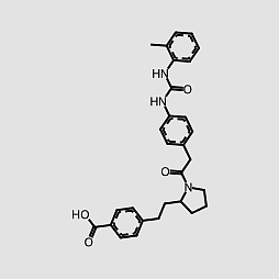 Cc1ccccc1NC(=O)Nc1ccc(CC(=O)N2CCCC2CCc2ccc(C(=O)O)cc2)cc1